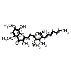 C/C=C/C=C/C=C/[C@H](OC)[C@@H](C)[C@@H](OC)[C@@H](C)CCC1=C(C)C(=O)C2C(OC)=CC(OC)=C(O)C2O1